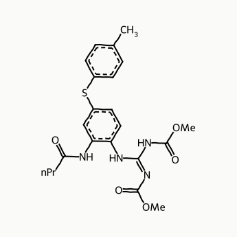 CCCC(=O)Nc1cc(Sc2ccc(C)cc2)ccc1NC(=NC(=O)OC)NC(=O)OC